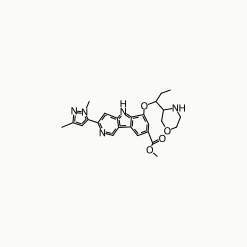 CCC(Oc1cc(C(=O)OC)cc2c1[nH]c1cc(-c3cc(C)nn3C)ncc12)C1COCCN1